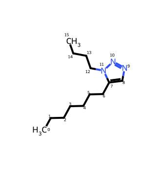 CCCCCCCc1cnnn1CCCC